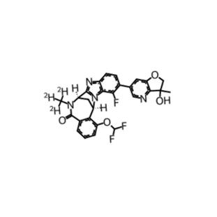 [2H]C([2H])([2H])N1C(=O)c2cccc(OC(F)F)c2[C@H]2C[C@@H]1c1nc3ccc(-c4cnc5c(c4)OCC5(C)O)c(F)c3n12